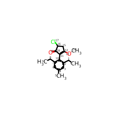 CCc1cc(C)cc(CC)c1C1=C(OC)CC(Cl)C1=O